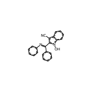 N#Cc1c(C(=Nc2ccccc2)c2ccccc2)n(O)c2ccccc12